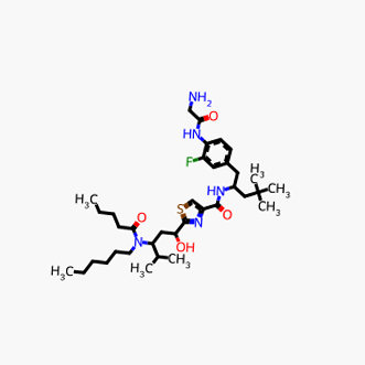 CCCCCCN(C(=O)CCCC)C(CC(O)c1nc(C(=O)NC(Cc2ccc(NC(=O)CN)c(F)c2)CC(C)(C)C)cs1)C(C)C